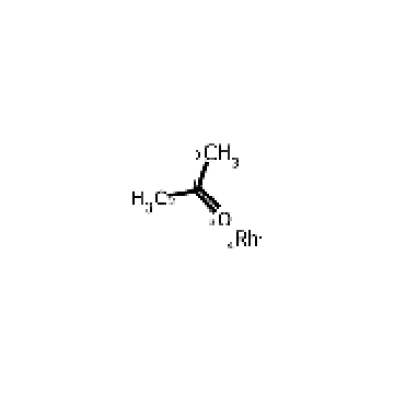 CC(C)=O.[Rh]